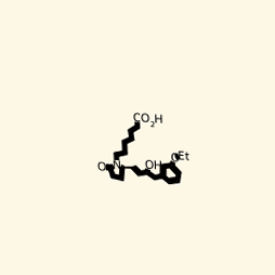 CCOc1cccc(CC(O)/C=C/[C@H]2CCC(=O)N2CCCCCCC(=O)O)c1